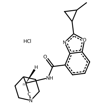 CC1CC1c1nc2c(C(=O)N[C@@H]3CN4CCC3CC4)cccc2o1.Cl